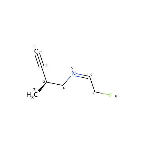 C#C[C@H](C)C/N=C\CF